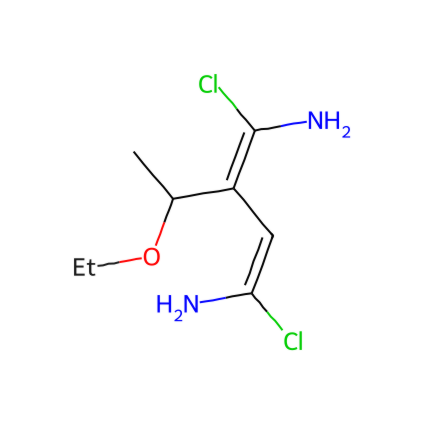 CCOC(C)C(/C=C(\N)Cl)=C(/N)Cl